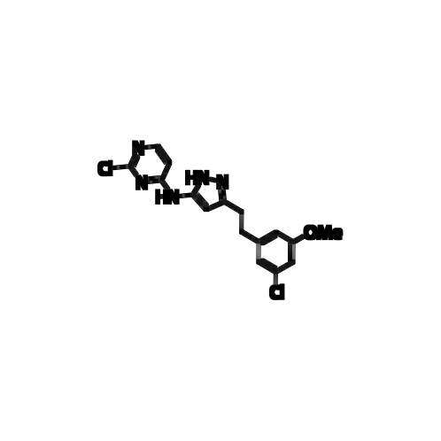 COc1cc(Cl)cc(CCc2cc(Nc3ccnc(Cl)n3)[nH]n2)c1